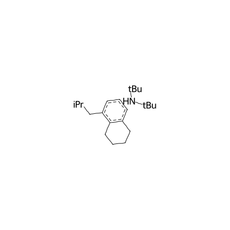 CC(C)(C)NC(C)(C)C.CC(C)Cc1cccc2c1CCCC2